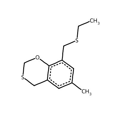 CCSCc1cc(C)cc2c1OCSC2